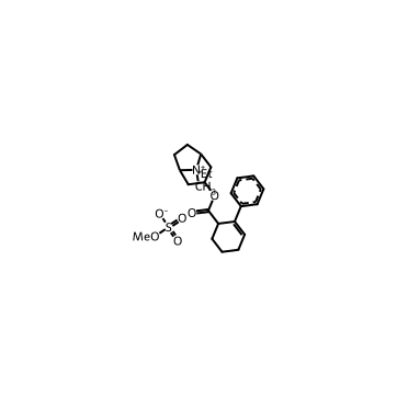 CC[N+]1(C)C2CCC1CC(OC(=O)C1CCCC=C1c1ccccc1)C2.COS(=O)(=O)[O-]